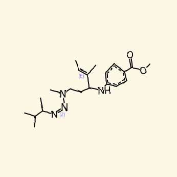 C/C=C(\C)C(CCN(C)/N=N\C(C)C(C)C)Nc1ccc(C(=O)OC)cc1